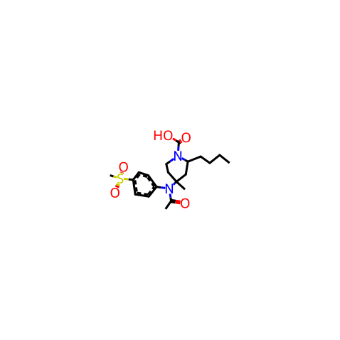 CCCCC1CC(C)(N(C(C)=O)c2ccc(S(C)(=O)=O)cc2)CCN1C(=O)O